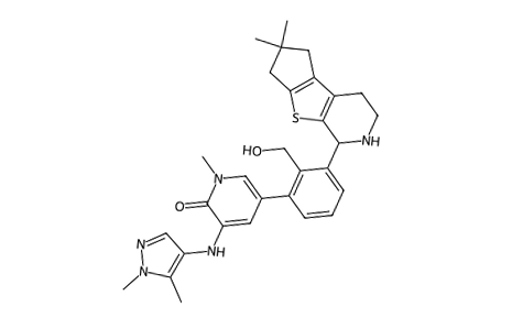 Cc1c(Nc2cc(-c3cccc(C4NCCc5c4sc4c5CC(C)(C)C4)c3CO)cn(C)c2=O)cnn1C